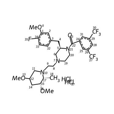 COc1cc(C[C@@H]2CN(CCN3CC(OC)C[C@@H](OC)[C@H]3C)CCN2C(=O)c2cc(C(F)(F)F)cc(C(F)(F)F)c2)ccc1F.Cl.Cl